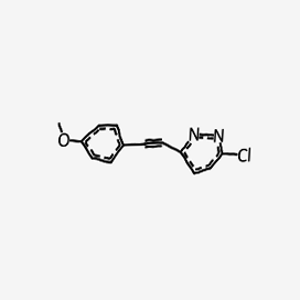 COc1ccc(C#Cc2ccc(Cl)nn2)cc1